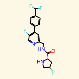 O=C(NCc1cc(-c2ccc(C(F)F)cc2)c(F)cn1)[C@@H]1C[C@@H](F)CN1